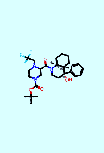 CC(C)(C)OC(=O)N1CCN(CC(F)(F)F)C(C(=O)N2CC[C@](O)(c3ccccc3)[C@H]3CCCC[C@H]32)C1